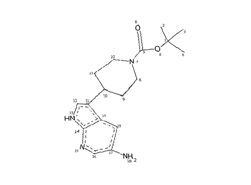 CC(C)(C)OC(=O)N1CCC(c2c[nH]c3ncc(N)cc23)CC1